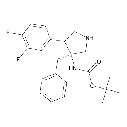 CC(C)(C)OC(=O)N[C@]1(Cc2ccccc2)CNC[C@H]1c1ccc(F)c(F)c1